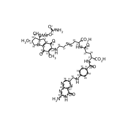 CO[C@@]12[C@H](COC(N)=O)C3=C(C(=O)C(C)=C(NCCSSCC(NC(=O)CCC(NC(=O)c4ccc(NCc5cnc6nc(N)[nH]c(=O)c6n5)cc4)C(=O)O)C(=O)O)C3=O)N1C[C@H](C)[C@@H]2C